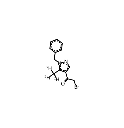 [2H]C([2H])([2H])c1c(C(=O)CBr)cnn1Cc1ccccc1